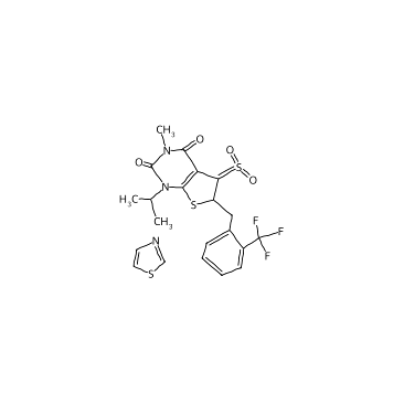 CC(C)n1c2c(c(=O)n(C)c1=O)C(=S(=O)=O)C(Cc1ccccc1C(F)(F)F)S2.c1cscn1